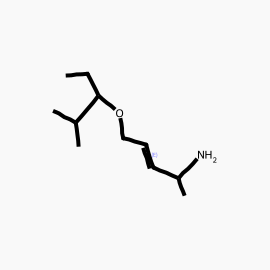 CCC(OC/C=C/C(C)N)C(C)C